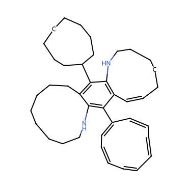 C1=C\c2c(c(C3CCCCCCCC3)c3c(c2-c2ccccccccc2)NCCCCCCCC3)NCCCCC/1